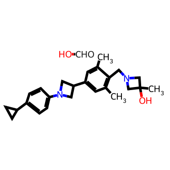 Cc1cc(C2CN(c3ccc(C4CC4)cc3)C2)cc(C)c1CN1CC(C)(O)C1.O=CO